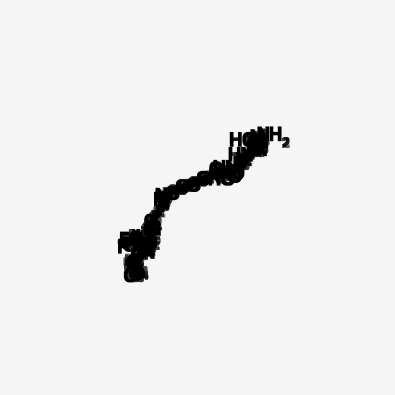 Nc1nc(O)c2nc(CNc3ccc(C(=O)N[C@@H](CCC(=O)NCCOCCOCCOCCOCc4cn(CCCCCOc5ccc(-c6ccc7nc(COc8cccc(N9CCCC9=O)c8)n(Cc8ccccc8OC(F)F)c7c6)cn5)nn4)C(=O)O)cc3)cnc2n1